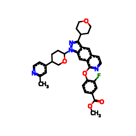 COC(=O)c1ccc(Oc2nccc3cc4c(C5CCOCC5)nn(C5CCC(c6ccnc(C)c6)CO5)c4cc23)c(F)c1